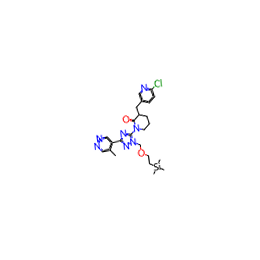 Cc1cnncc1-c1nc(N2CCCC(Cc3ccc(Cl)nc3)C2=O)n(COCC[Si](C)(C)C)n1